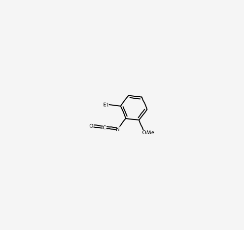 CCc1cccc(OC)c1N=C=O